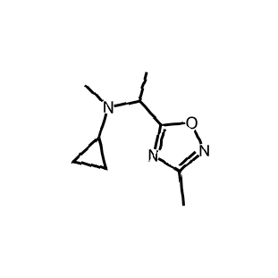 Cc1noc(C(C)N(C)C2CC2)n1